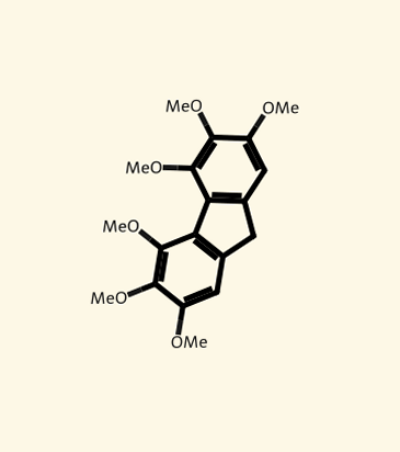 COc1cc2c(c(OC)c1OC)-c1c(cc(OC)c(OC)c1OC)C2